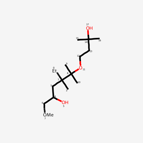 CCC(C)(CC(O)COC)C(C)(C)OCCC(C)(C)O